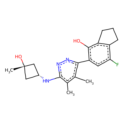 Cc1c(N[C@H]2C[C@@](C)(O)C2)nnc(-c2cc(F)c3c(c2O)CCC3)c1C